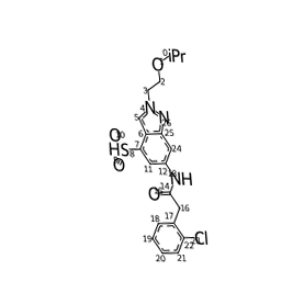 CC(C)OCCn1cc2c([SH](=O)=O)cc(NC(=O)Cc3ccccc3Cl)cc2n1